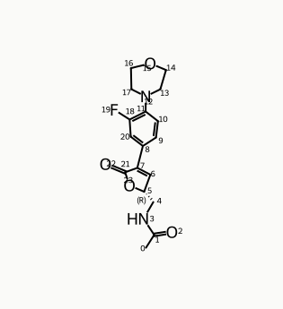 CC(=O)NC[C@H]1C=C(c2ccc(N3CCOCC3)c(F)c2)C(=O)O1